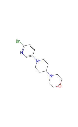 Brc1ccc(N2CCC(N3CCOCC3)CC2)cn1